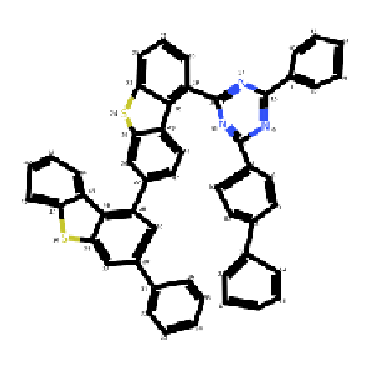 c1ccc(-c2ccc(-c3nc(-c4ccccc4)nc(-c4cccc5sc6cc(-c7cc(-c8ccccc8)cc8sc9ccccc9c78)ccc6c45)n3)cc2)cc1